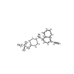 CS(=O)(=O)O[C@H]1CC[C@H](Nc2ccc(C#N)c3ccccc23)CC1